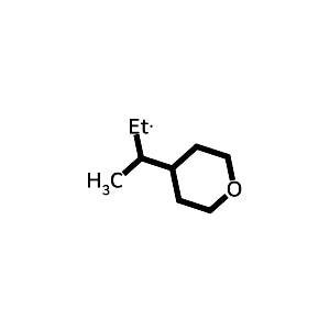 C[CH]C(C)C1CCOCC1